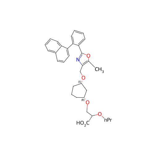 CCCOC(CO[C@@H]1CCC[C@H](OCc2nc(-c3ccccc3-c3cccc4ccccc34)oc2C)C1)C(=O)O